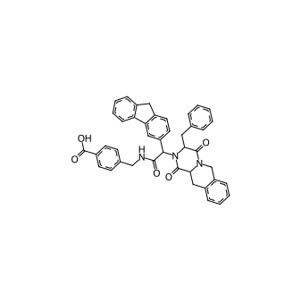 O=C(O)c1ccc(CNC(=O)C(c2ccc3c(c2)-c2ccccc2C3)N2C(=O)C3Cc4ccccc4CN3C(=O)C2Cc2ccccc2)cc1